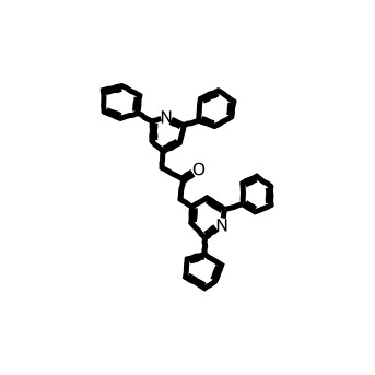 O=C(Cc1cc(-c2ccccc2)nc(-c2ccccc2)c1)Cc1cc(-c2ccccc2)nc(-c2ccccc2)c1